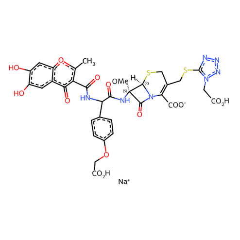 CO[C@@]1(NC(=O)C(NC(=O)c2c(C)oc3cc(O)c(O)cc3c2=O)c2ccc(OCC(=O)O)cc2)C(=O)N2C(C(=O)[O-])=C(CSc3nnnn3CC(=O)O)CS[C@@H]21.[Na+]